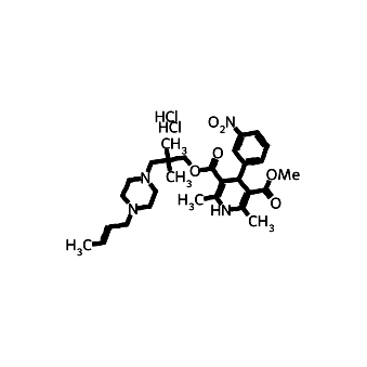 CC=CCN1CCN(CC(C)(C)COC(=O)C2=C(C)NC(C)=C(C(=O)OC)C2c2cccc([N+](=O)[O-])c2)CC1.Cl.Cl